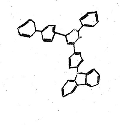 C1=CCC(c2ccc(C3C=C(c4ccc(-n5c6ccccc6c6ccccc65)cc4)NC(c4ccccc4)N3)cc2)C=C1